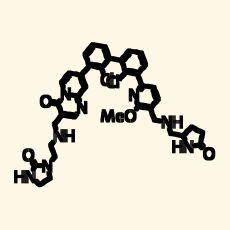 COc1nc(-c2cccc(-c3cccc(-c4ccn5c(=O)c(CNCCN6CCNC6=O)cnc5c4)c3Cl)c2Cl)ccc1CNCC1CCC(=O)N1